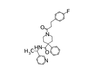 CC(NC(=O)C1(c2ccccc2)CCN(C(=O)CCc2ccc(F)cc2)CC1)c1cccnc1